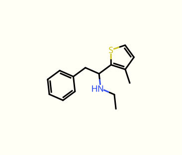 CCNC(Cc1ccccc1)c1sccc1C